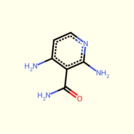 NC(=O)c1c(N)ccnc1N